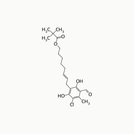 Cc1c(Cl)c(O)c(CC=CCCCCCOC(=O)C(C)(C)C)c(O)c1C=O